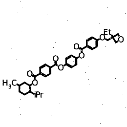 CCC1(COc2ccc(C(=O)Oc3ccc(OC(=O)c4ccc(C(=O)OC5CC(C)CCC5C(C)C)cc4)cc3)cc2)COC1